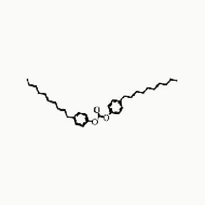 CCCCCCCCCCc1ccc(OC(=O)Oc2ccc(CCCCCCCCCC)cc2)cc1